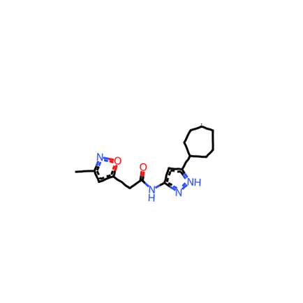 Cc1cc(CC(=O)Nc2cc(C3CC[CH]CCC3)[nH]n2)on1